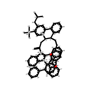 C=C1CC2C(CCc3ccc4c(oc5ccccc54)c3-c3n(-c4c(-c5ccccc5)cccc4-c4ccccc4)c4ccccc4[n+]31)c1ccccc1-c1cc(CC(C)C)c([Si](C)(C)C)c[n+]12